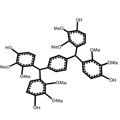 COc1c(O)ccc(C(c2ccc(C(c3ccc(O)c(OC)c3OC)c3ccc(O)c(OC)c3OC)cc2)c2ccc(O)c(OC)c2OC)c1OC